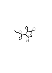 CCOC(=O)C1NSC(=O)C1=O